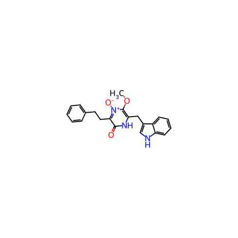 COc1c(Cc2c[nH]c3ccccc23)[nH]c(=O)c(CCc2ccccc2)[n+]1[O-]